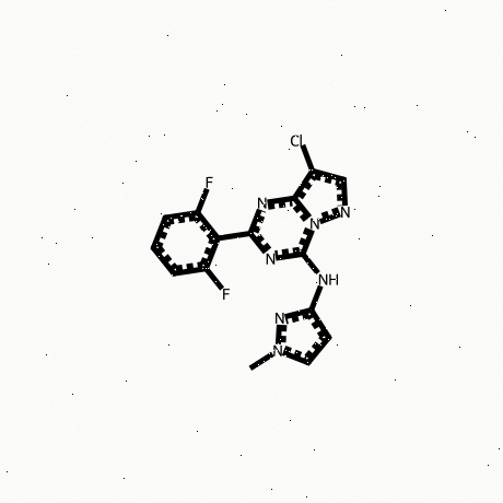 Cn1ccc(Nc2nc(-c3c(F)cccc3F)nc3c(Cl)cnn23)n1